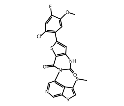 COc1cc(-c2cc3[nH]c(=O)n(-c4cncc5scc(SC)c45)c(=O)c3s2)c(Cl)cc1F